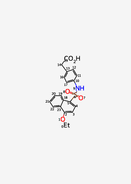 CCOc1ccc(S(=O)(=O)Nc2ccc(CC(=O)O)cc2)c2ccccc12